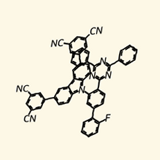 N#Cc1cc(C#N)cc(-c2ccc3c(c2)c2cc(-c4cc(C#N)cc(C#N)c4)ccc2n3-c2cc(-c3ccccc3F)ccc2-c2nc(-c3ccccc3)nc(-c3ccccc3)n2)c1